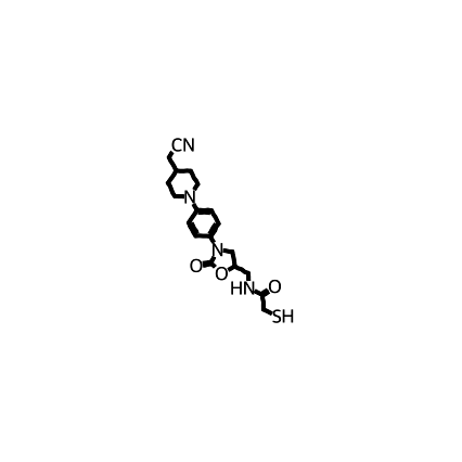 N#CCC1CCN(c2ccc(N3CC(CNC(=O)CS)OC3=O)cc2)CC1